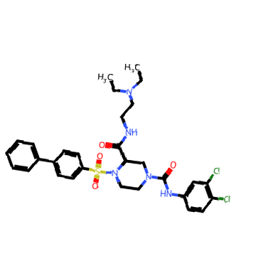 CCN(CC)CCNC(=O)C1CN(C(=O)Nc2ccc(Cl)c(Cl)c2)CCN1S(=O)(=O)c1ccc(-c2ccccc2)cc1